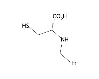 CC(C)CN[C@H](CS)C(=O)O